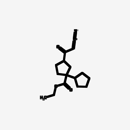 CCOC(=O)C1(C2CCCC2)CCC(C(=O)C=[N+]=[N-])C1